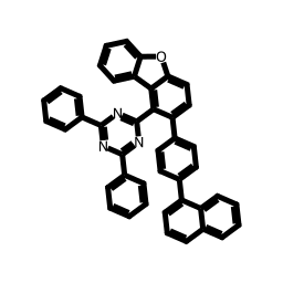 c1ccc(-c2nc(-c3ccccc3)nc(-c3c(-c4ccc(-c5cccc6ccccc56)cc4)ccc4oc5ccccc5c34)n2)cc1